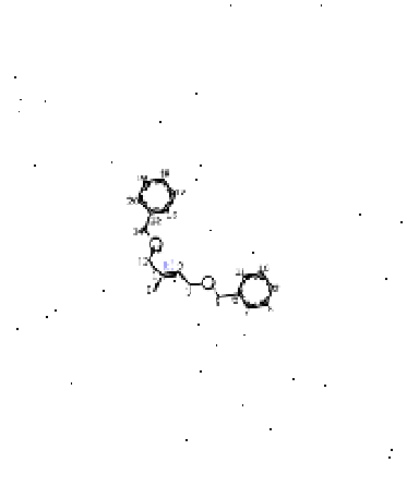 C/C(=C\COCc1ccccc1)COCc1ccccc1